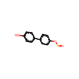 O=POc1ccc(-c2ccc(O)cc2)cc1